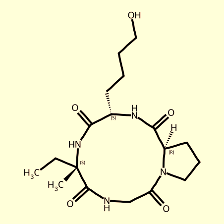 CC[C@]1(C)NC(=O)[C@H](CCCCO)NC(=O)[C@H]2CCCN2C(=O)CNC1=O